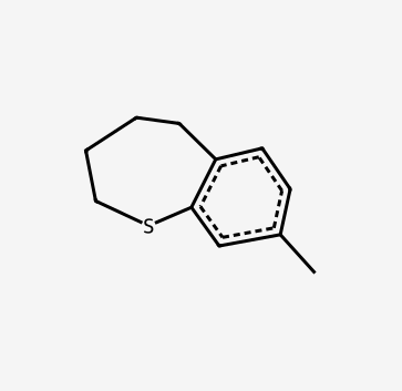 Cc1ccc2c(c1)SCCCC2